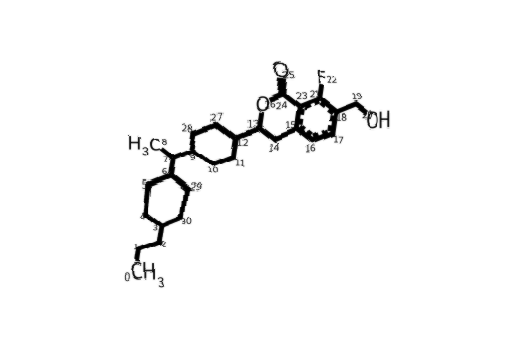 CCCC1CCC(C(C)C2CCC(C3Cc4ccc(CO)c(F)c4C(=O)O3)CC2)CC1